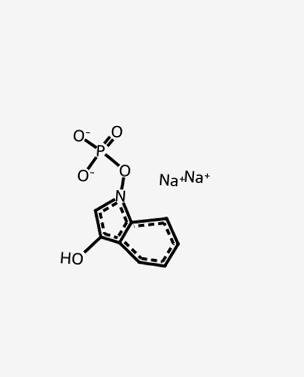 O=P([O-])([O-])On1cc(O)c2ccccc21.[Na+].[Na+]